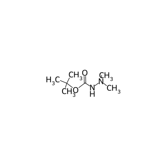 CN(C)NC(=O)OC(C)(C)C